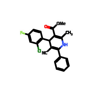 COC(=O)C1=C(C)NC(c2ccccc2)=C(C#N)C1c1ccc(F)cc1Cl